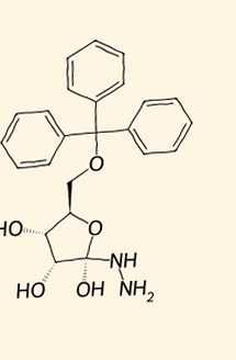 NN[C@]1(O)O[C@H](COC(c2ccccc2)(c2ccccc2)c2ccccc2)[C@@H](O)[C@H]1O